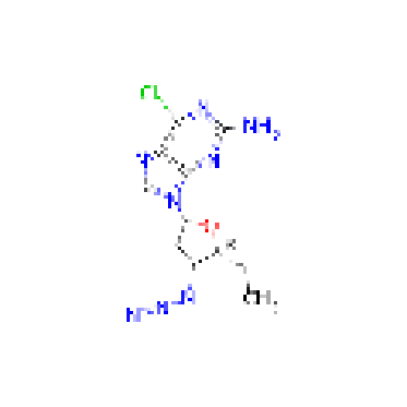 CC[C@H]1OC(n2cnc3c(Cl)nc(N)nc32)CC1N=[N+]=[N-]